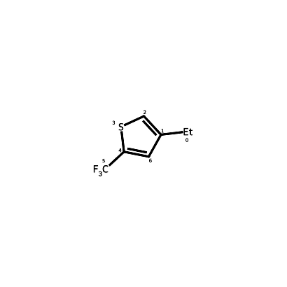 CCc1csc(C(F)(F)F)c1